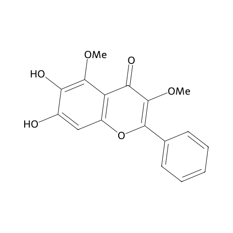 COc1c(-c2ccccc2)oc2cc(O)c(O)c(OC)c2c1=O